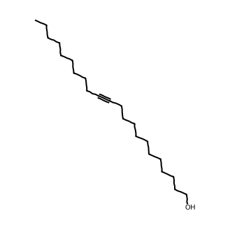 CCCCCCCCCC#CCCCCCCCCCCCO